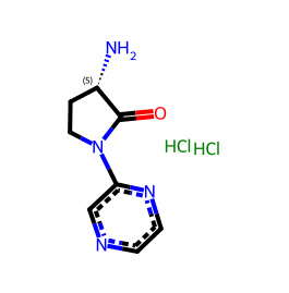 Cl.Cl.N[C@H]1CCN(c2cnccn2)C1=O